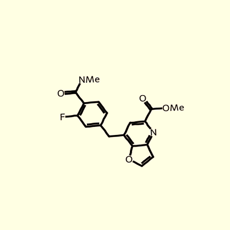 CNC(=O)c1ccc(Cc2cc(C(=O)OC)nc3ccoc23)cc1F